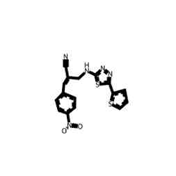 N#C/C(=C/c1ccc([N+](=O)[O-])cc1)CNc1nnc(-c2cccs2)s1